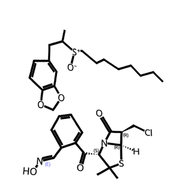 CC1(C)S[C@@H]2[C@H](CCl)C(=O)N2[C@H]1C(=O)c1ccccc1/C=N/O.CCCCCCCC[S+]([O-])C(C)Cc1ccc2c(c1)OCO2